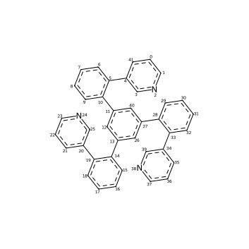 c1cncc(-c2ccccc2-c2cc(-c3ccccc3-c3cccnc3)cc(-c3ccccc3-c3cccnc3)c2)c1